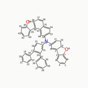 C1=C2c3ccccc3OC2CC=C1N(c1ccc(-c2ccccc2)c(-c2ccccc2)c1)c1ccc2ccc3oc4ccccc4c3c2c1